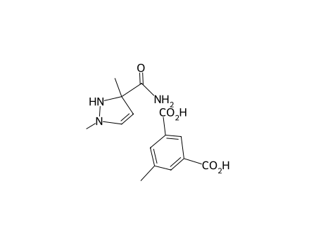 CN1C=CC(C)(C(N)=O)N1.Cc1cc(C(=O)O)cc(C(=O)O)c1